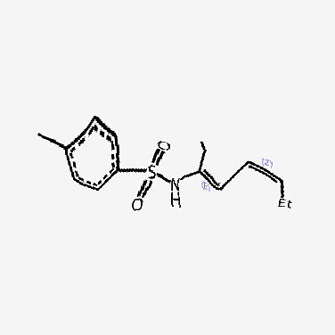 CC/C=C\C=C(/C)NS(=O)(=O)c1ccc(C)cc1